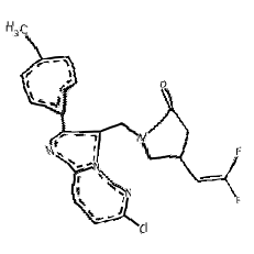 Cc1ccc(-c2nc3ccc(Cl)nn3c2CN2CC(C=C(F)F)CC2=O)cc1